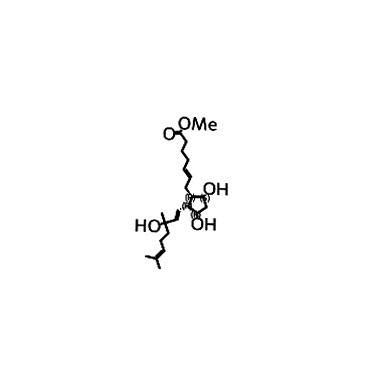 COC(=O)CCCC=CC[C@@H]1[C@@H](C=CC(C)(O)CCC=C(C)C)[C@H](O)C[C@@H]1O